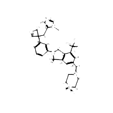 Cn1cnnc1CC1(c2cccc(N3Cc4c(cc(CN5CCS(=O)(=O)CC5)cc4C(F)(F)F)C3=O)c2)COC1